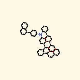 c1ccc(-c2ccc(-c3ccccc3N(c3ccc(-c4cccc5ccccc45)cc3)c3ccc(-c4cc5c6ccccc6ccc5c5ccccc45)cc3)cc2)cc1